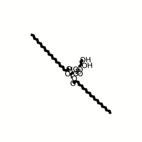 CCCCCCCCCCCCCCCCCCCC(=O)O[C@H](COC(=O)CCCCCCCCCCCCCCCCCC)COP(=O)(O)OC[C@@H](O)CO